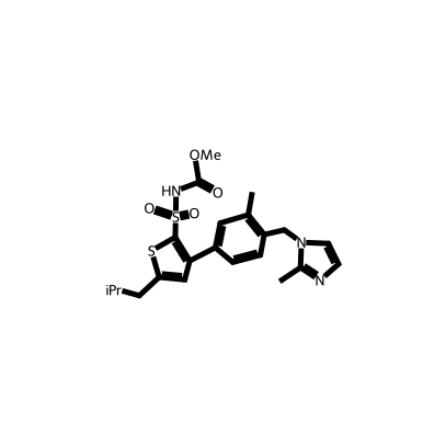 COC(=O)NS(=O)(=O)c1sc(CC(C)C)cc1-c1ccc(Cn2ccnc2C)c(C)c1